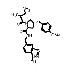 COc1ccc(C[C@@H]2C[C@@H](C(=O)NCc3ccc4c(c3)nnn4C)N(C(=O)[C@H](C)CN)C2)cc1